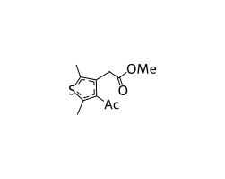 COC(=O)Cc1c(C)sc(C)c1C(C)=O